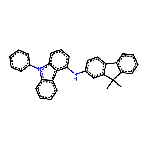 CC1(C)c2ccccc2-c2ccc(Nc3cccc4c3c3ccccc3n4-c3ccccc3)cc21